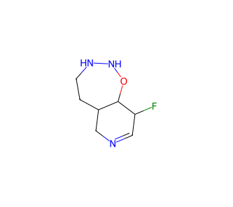 FC1C=NCC2CCNNOC12